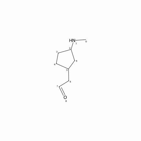 CNC1CCC(CC=O)C1